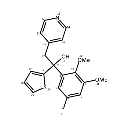 COc1cc(F)cc(C(O)(Cc2ccncc2)c2cccs2)c1OC